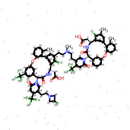 Cc1cc2cc(c1F)[C@H](CC(=O)O)NC(=O)[C@@H](n1cc(CCN(C)CCc3cc4cc(c3F)[C@H](CC(=O)O)NC(=O)[C@@H](n3cc(CCN5CC(F)C5)c(C(F)(F)F)cc3=O)c3cc(cc(C(F)(F)F)c3)Oc3cccc(C)c3-4)c(C(F)(F)F)cc1=O)c1cccc(c1)Oc1cccc(C)c1-2